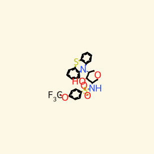 O=S(=O)(N[C@H]1COC[C@@H](N2c3ccccc3Sc3ccccc32)[C@@H]1O)c1ccc(OC(F)(F)F)cc1